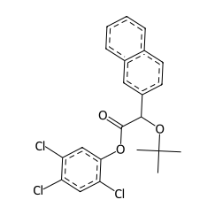 CC(C)(C)OC(C(=O)Oc1cc(Cl)c(Cl)cc1Cl)c1ccc2ccccc2c1